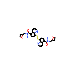 O=C(NCC1CCO1)c1ccc(SSc2ccc(C(=O)NCC3CCO3)c3cccnc23)c2ncccc12